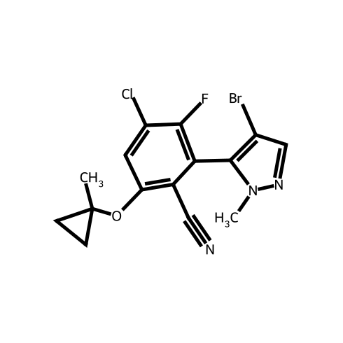 Cn1ncc(Br)c1-c1c(F)c(Cl)cc(OC2(C)CC2)c1C#N